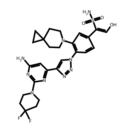 Nc1cc(-c2cn(-c3ccc(C(=CO)S(N)(=O)=O)cc3N3CCC4(CC3)CC4)nn2)nc(N2CCC(F)(F)CC2)n1